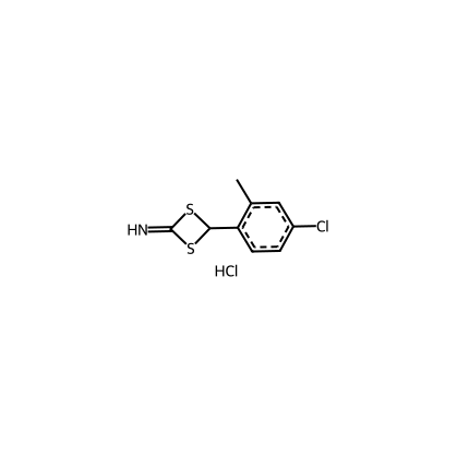 Cc1cc(Cl)ccc1C1SC(=N)S1.Cl